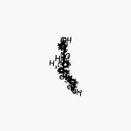 Cc1c(NC(=O)CCN2CCC(O)C2)cccc1-c1cccc2c1CCN2C(=O)c1nc2c(s1)CN(CC(=O)O)CC2